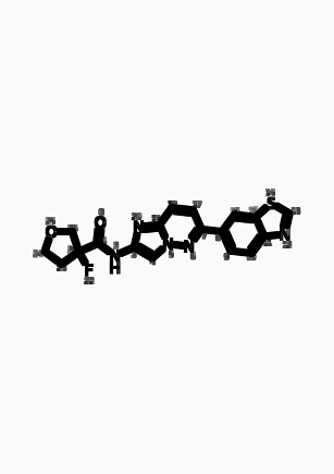 O=C(Nc1cn2nc(-c3ccc4ncsc4c3)ccc2n1)C1(F)CCOC1